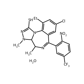 CCc1cc(Cl)cc2c1N1C(S)=NN(C)C1C(C)N=C2c1cc(C(F)(F)F)ccc1[N+](=O)[O-].O